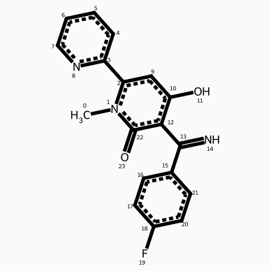 Cn1c(-c2ccccn2)cc(O)c(C(=N)c2ccc(F)cc2)c1=O